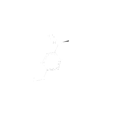 C[Si@H](N)c1ccc(OC(F)(F)F)cc1